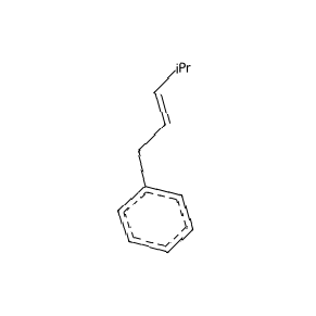 CC(C)C=CCc1ccccc1